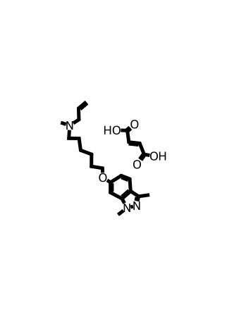 C=CCN(C)CCCCCCOc1ccc2c(C)nn(C)c2c1.O=C(O)C=CC(=O)O